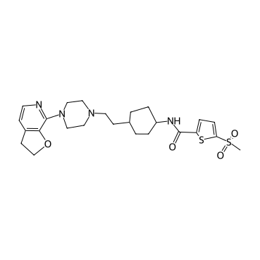 CS(=O)(=O)c1ccc(C(=O)NC2CCC(CCN3CCN(c4nccc5c4OCC5)CC3)CC2)s1